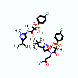 CC(C)(C)Cc1cc(N(CCC(N)=O)C(=O)C(C)(C)S(=O)(=O)c2ccc(Cl)cc2)on1.CC(C)c1cc(NC(=O)C(C)(C)S(=O)(=O)c2ccc(Cl)cc2)n(C)n1